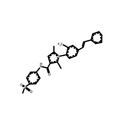 Cc1cc(C(=O)Nc2ccc(S(C)(=O)=O)cc2)c(C)n1-c1ccc(/C=C/c2ccccc2)cc1C(F)(F)F